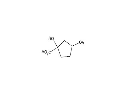 O=C(O)C1(O)CCC(O)C1